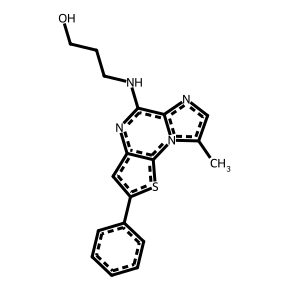 Cc1cnc2c(NCCCO)nc3cc(-c4ccccc4)sc3n12